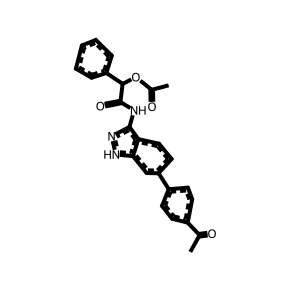 CC(=O)OC(C(=O)Nc1n[nH]c2cc(-c3ccc(C(C)=O)cc3)ccc12)c1ccccc1